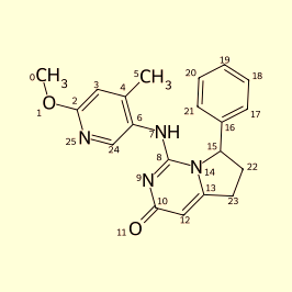 COc1cc(C)c(Nc2nc(=O)cc3n2C(c2ccccc2)CC3)cn1